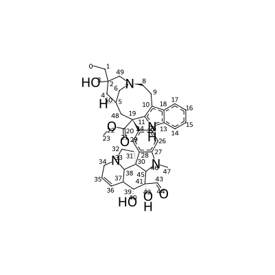 CCC1(O)C[C@H]2C[N@](CCc3c([nH]c4ccccc34)[C@@](C(=O)OC)(c3ccc4c(c3)[C@]35CCN6CC=CC(C63)[C@@H](O)[C@](O)(C=O)C5N4C)C2)C1